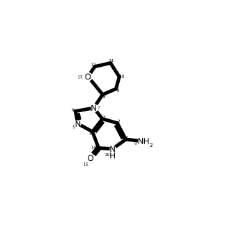 Nc1cc2c(ncn2C2CCCCO2)c(=O)[nH]1